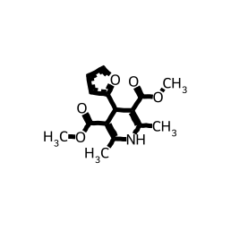 COC(=O)C1=C(C)NC(C)=C(C(=O)OC)C1c1ccco1